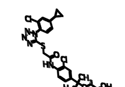 CC(C)(OCCO)c1ccc(NC(=O)CSc2nnnn2-c2ccc(C3CC3)cc2Cl)c(Cl)c1